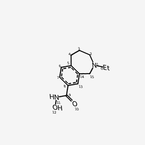 CCN1CCCc2ccc(C(=O)NO)cc2C1